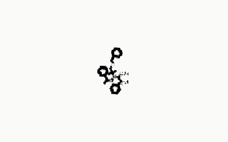 CC[C@H](c1ccccc1)C(OC(C)=O)N(OC(C)c1ccccc1)C(C)(C)COCc1ccccc1